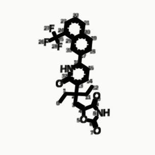 CCC(/C=C1/OC(=O)NC1=O)(CC)c1ccc(-c2ccc3cccc(C(F)(F)F)c3c2)[nH]c1=O